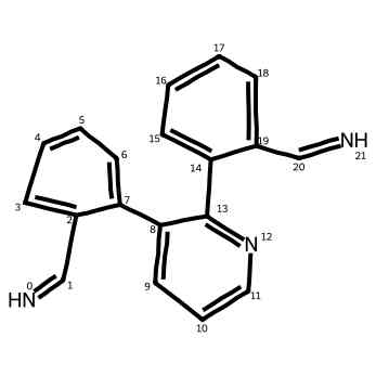 N=Cc1ccccc1-c1cccnc1-c1ccccc1C=N